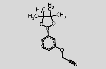 CC1(C)OB(c2cncc(OCC#N)c2)OC1(C)C